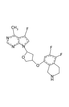 Cc1ncnc2c1c(F)cn2C1CC(Oc2cc(F)c(F)c3c2CNCC3)CO1